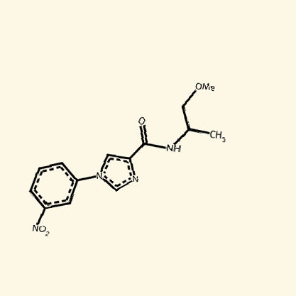 COCC(C)NC(=O)c1cn(-c2cccc([N+](=O)[O-])c2)cn1